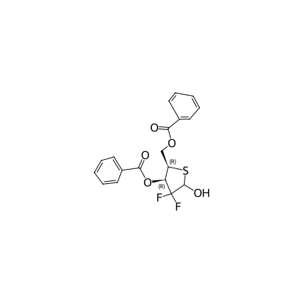 O=C(OC[C@H]1SC(O)C(F)(F)[C@H]1OC(=O)c1ccccc1)c1ccccc1